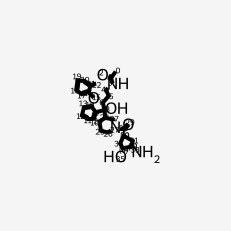 CC(=O)NCCCC(O)(c1ccccc1Oc1ccccc1C)C1CCCN(C(=O)[C@H]2C[C@@H](N)[C@@H](O)C2)C1